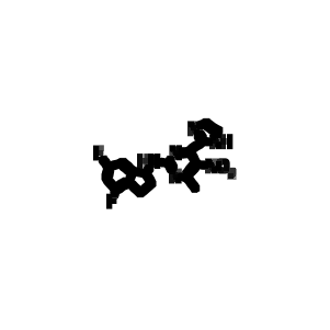 Cc1nc(NC2CCc3c(F)cc(F)cc32)nc(-c2ncc[nH]2)c1[N+](=O)[O-]